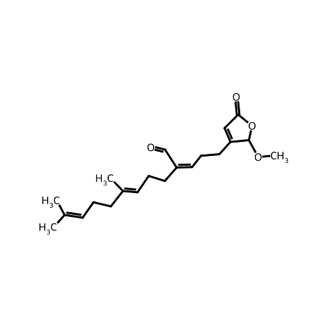 COC1OC(=O)C=C1CC/C=C(\C=O)CC/C=C(\C)CCC=C(C)C